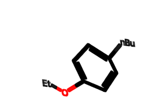 [CH]CCCc1ccc(OCC)cc1